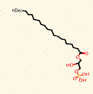 CCCCCCCCCCCCCCCCCCCCCCCCCCCC(=O)OCC(O)COP(=O)(O)O